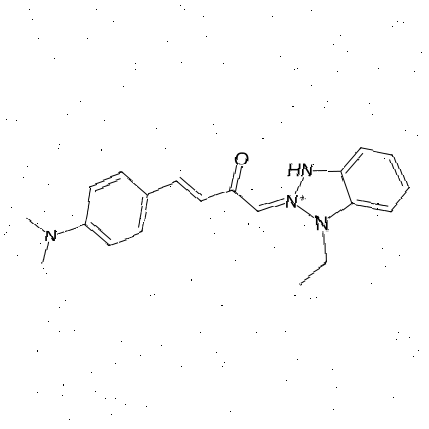 CCN1c2ccccc2N[N+]1=CC(=O)C=Cc1ccc(N(C)C)cc1